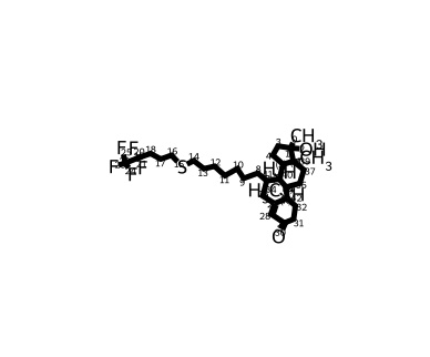 CC1(O)CC[C@H]2[C@@H]3C(CCCCCCCSCCCC(F)(F)C(F)(F)F)CC4=CC(=O)CC[C@]4(C)[C@@H]3CC[C@@]21C